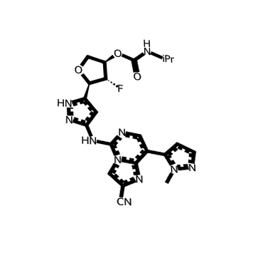 CC(C)NC(=O)O[C@@H]1CO[C@H](c2cc(Nc3ncc(-c4ccnn4C)c4nc(C#N)cn34)n[nH]2)[C@H]1F